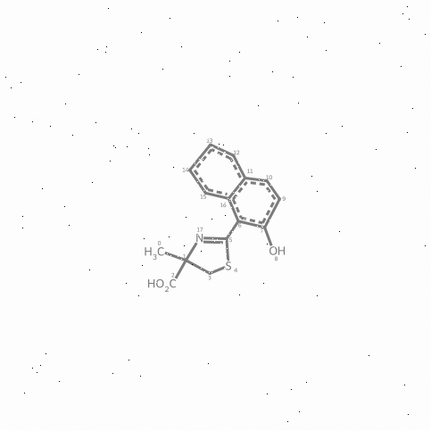 CC1(C(=O)O)CSC(c2c(O)ccc3ccccc23)=N1